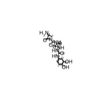 N[C@H]1CN(C(=O)NS(=O)(=O)NNC(=O)Nc2ccc(O)c(O)c2)C1=O